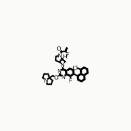 C=C(F)C(=O)N1CCC2[C@H]1CN2c1nc(OCC23CCCN2CCC3)nc2c(F)c(-c3cccc4cccc(Cl)c34)ccc12